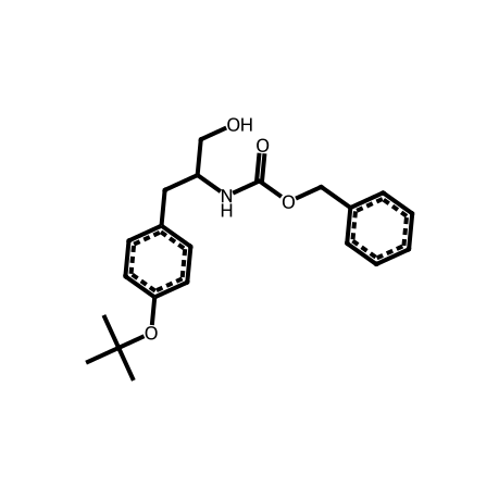 CC(C)(C)Oc1ccc(CC(CO)NC(=O)OCc2ccccc2)cc1